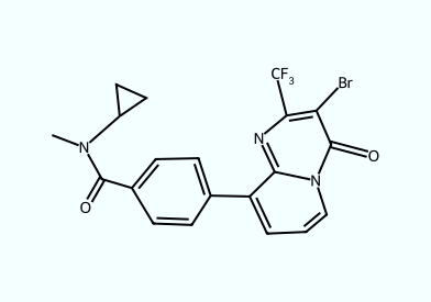 CN(C(=O)c1ccc(-c2cccn3c(=O)c(Br)c(C(F)(F)F)nc23)cc1)C1CC1